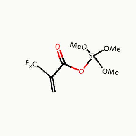 C=C(C(=O)O[Si](OC)(OC)OC)C(F)(F)F